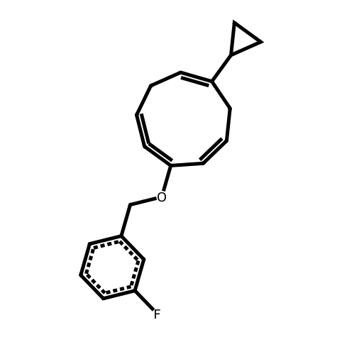 Fc1cccc(COC2=C=CC/C=C(/C3CC3)C/C=C\2)c1